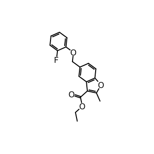 CCOC(=O)c1c(C)oc2ccc(COc3ccccc3F)cc12